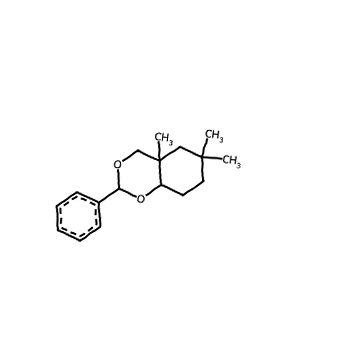 CC1(C)CCC2OC(c3ccccc3)OCC2(C)C1